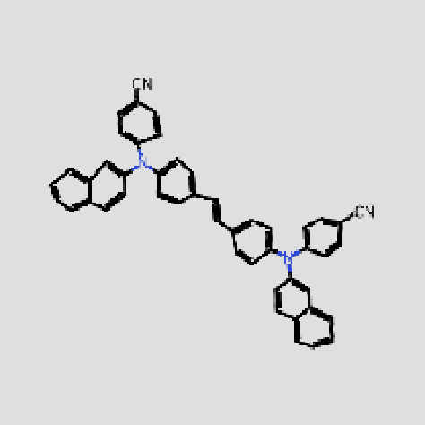 N#Cc1ccc(N(c2ccc(/C=C/c3ccc(N(c4ccc(C#N)cc4)c4ccc5ccccc5c4)cc3)cc2)c2ccc3ccccc3c2)cc1